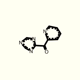 O=C(c1ccccn1)c1ncncn1